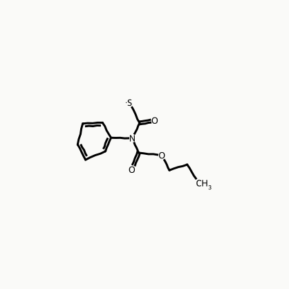 CCCOC(=O)N(C(=O)[S])c1ccccc1